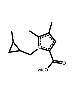 COC(=O)c1cc(C)c(C)n1CC1CC1C